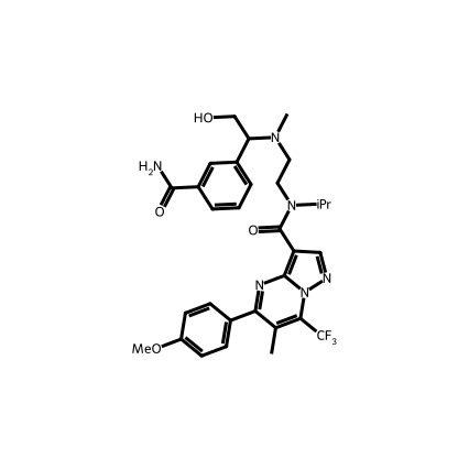 COc1ccc(-c2nc3c(C(=O)N(CCN(C)C(CO)c4cccc(C(N)=O)c4)C(C)C)cnn3c(C(F)(F)F)c2C)cc1